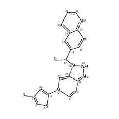 Cc1csc(N2C=CC3=NNN(C(C)c4ccc5ncccc5c4)C3=C2)c1